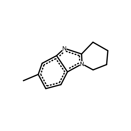 Cc1ccc2c(c1)nc1n2CCCC1